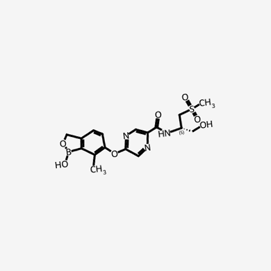 Cc1c(Oc2cnc(C(=O)N[C@@H](CO)CS(C)(=O)=O)cn2)ccc2c1B(O)OC2